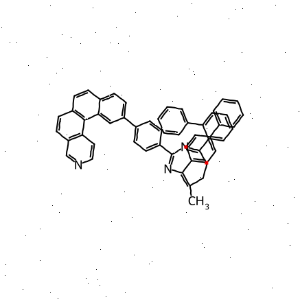 C\C1=C(c2ccc(-c3ccccc3)cc2)/N=C(c2ccc(-c3ccc4ccc5ccc6cnccc6c5c4c3)cc2)\N=C(\c2ccccc2-c2ccccc2)CC1